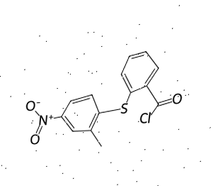 Cc1cc([N+](=O)[O-])ccc1Sc1ccccc1C(=O)Cl